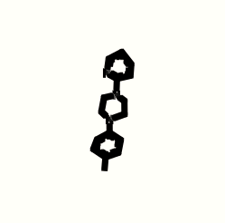 Cc1ccc(N2CCN(c3ccccn3)CC2)cc1